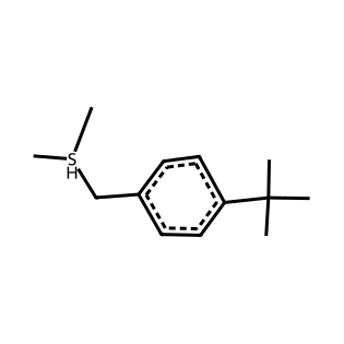 C[SH](C)Cc1ccc(C(C)(C)C)cc1